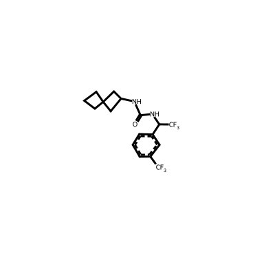 O=C(NC1CC2(CCC2)C1)NC(c1cccc(C(F)(F)F)c1)C(F)(F)F